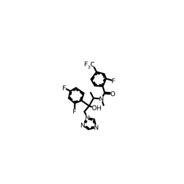 CC(N(C)C(=O)c1ccc(C(F)(F)F)cc1F)C(O)(Cn1cncn1)c1ccc(F)cc1F